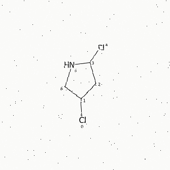 ClC1[CH]C(Cl)NC1